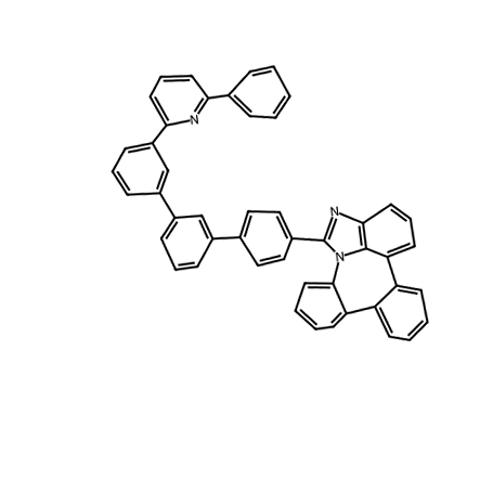 c1ccc(-c2cccc(-c3cccc(-c4cccc(-c5ccc(-c6nc7cccc8c7n6-c6ccccc6-c6ccccc6-8)cc5)c4)c3)n2)cc1